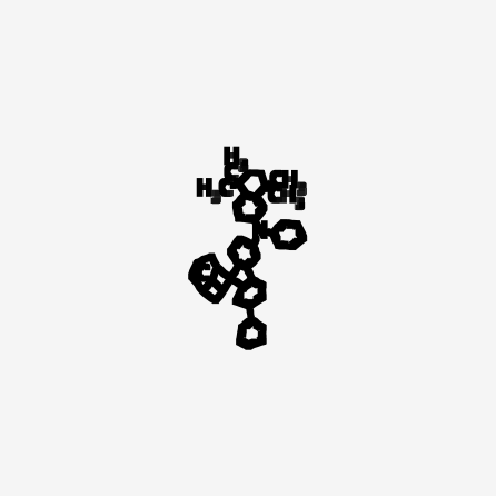 CC1(C)CCC(C)(C)c2cc(N(c3ccccc3)c3ccc4c(c3)-c3ccc(-c5ccccc5)cc3C43C4CC5CC6CC3C64C5)ccc21